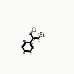 CCC=C(CCl)c1ccccc1